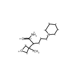 CC1(C(CCCN2CCCCC2)C(N)=O)COC1